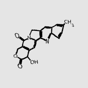 Cc1ccc2nc3c(cc2c1)Cn1c-3cc2c(c1=O)COC(=O)C2O